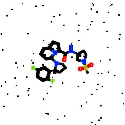 CS(=O)(=O)N1CC[C@H](NC(=O)c2ccc3cccc(N4CCC[C@@H]4c4cc(F)ccc4F)n23)C1